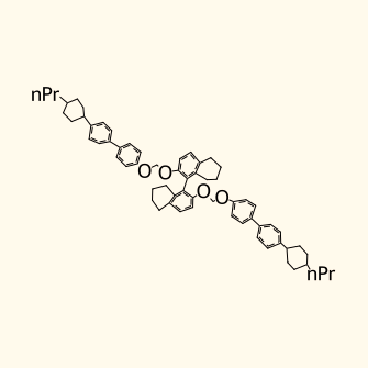 CCCC1CCC(c2ccc(-c3ccc(OCOc4ccc5c(c4-c4c(OCOc6ccc(-c7ccc(C8CCC(CCC)CC8)cc7)cc6)ccc6c4CCCC6)CCCC5)cc3)cc2)CC1